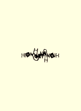 CC(C)(N=NC(C)(C)C(=O)NCCN1CCNCC1)C(=O)NCCN1CCNCC1